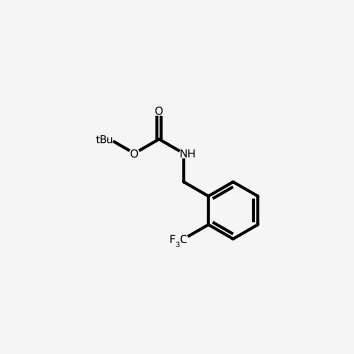 CC(C)(C)OC(=O)NCc1ccccc1C(F)(F)F